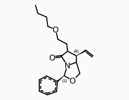 C=C[C@@H]1C(CCOCCCC)C(=O)N2C1CO[C@H]2c1ccccc1